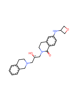 O=C1c2ccc(NC3COC3)cc2CCN1C[C@H](O)CN1CCc2ccccc2C1